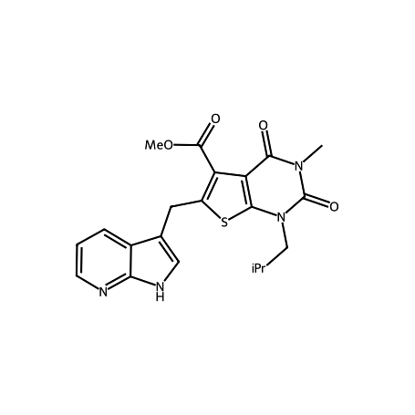 COC(=O)c1c(Cc2c[nH]c3ncccc23)sc2c1c(=O)n(C)c(=O)n2CC(C)C